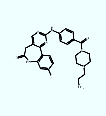 CCCN1CCN(C(=O)c2ccc(Nc3ncc4c(n3)-c3ccc(Cl)cc3NC(=O)C4)cc2)CC1